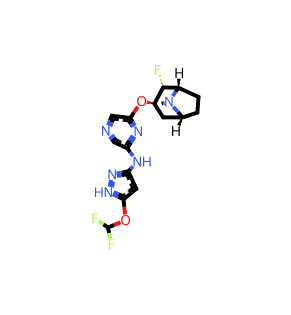 CN1[C@@H]2CC[C@H]1[C@@H](F)[C@H](Oc1cncc(Nc3cc(OC(F)F)[nH]n3)n1)C2